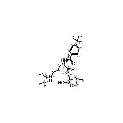 CNC(=N)NCCC[C@H](NC(=O)c1ccc(C(C)(C)C)cc1)C(=O)N[C@@H](CC(C)C)B(O)O